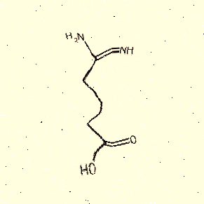 N=C(N)CCCC(=O)O